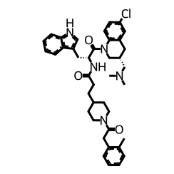 Cc1ccccc1CC(=O)N1CCC(CCC(=O)N[C@H](Cc2c[nH]c3ccccc23)C(=O)N2C[C@@H](CN(C)C)Cc3cc(Cl)ccc32)CC1